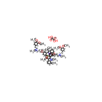 COc1ccc(CCN(C)CCCOc2ccc([S+]([O-])c3ccc(OCCCN(C)CCc4ccc(OC)c(OC)c4)cc3-c3c(C(C)C)c4cccc(C)c4n3C)c(-c3c(C(C)C)c4cccc(C)c4n3C)c2)cc1OC.O=C(O)C(=O)O